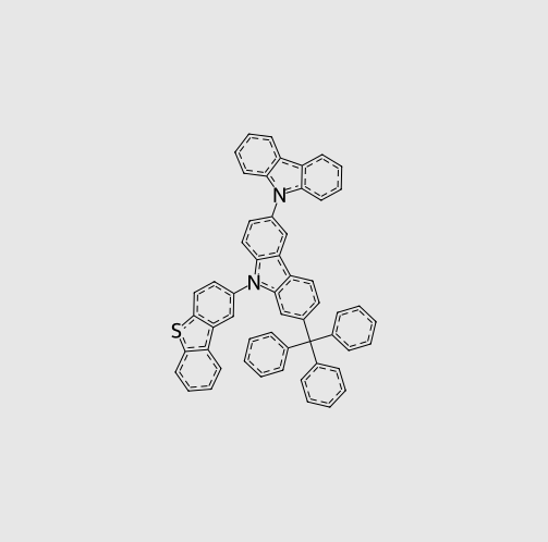 c1ccc(C(c2ccccc2)(c2ccccc2)c2ccc3c4cc(-n5c6ccccc6c6ccccc65)ccc4n(-c4ccc5sc6ccccc6c5c4)c3c2)cc1